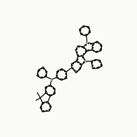 CC1(C)c2ccccc2-c2ccc(N(c3ccccc3)c3ccc(-c4ccc5c(c4)c4ccc6c(c7ccccc7n6-c6ccccc6)c4n5-c4ccccc4)cc3)cc21